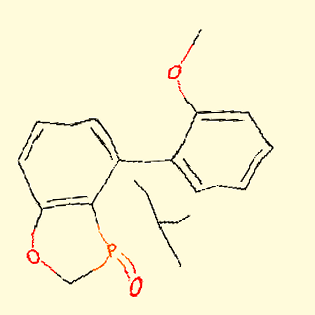 COc1ccccc1-c1cccc2c1[P@@](=O)(C(C)(C)C)CO2